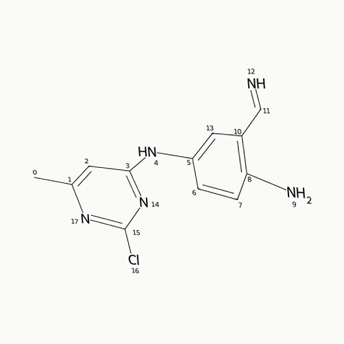 Cc1cc(Nc2ccc(N)c(C=N)c2)nc(Cl)n1